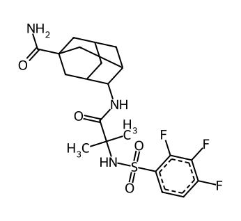 CC(C)(NS(=O)(=O)c1ccc(F)c(F)c1F)C(=O)NC1C2CC3CC1CC(C(N)=O)(C3)C2